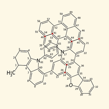 CC1CC=Cc2c1c1cccc(-c3cccc(N(c4ccccc4-c4ccc5oc6ccccc6c5c4)c4ccccc4-c4cccc5cccc(-c6ccccc6)c45)c3)c1n2-c1ccccc1